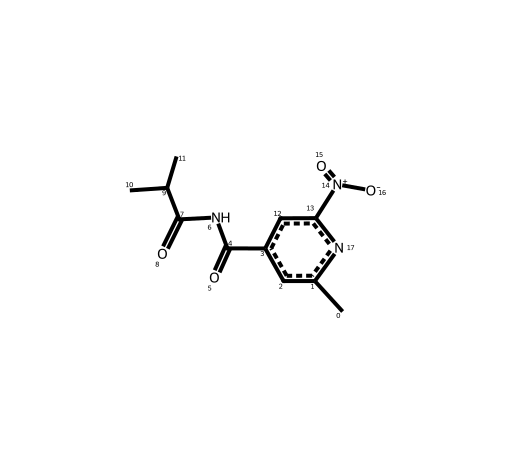 Cc1cc(C(=O)NC(=O)C(C)C)cc([N+](=O)[O-])n1